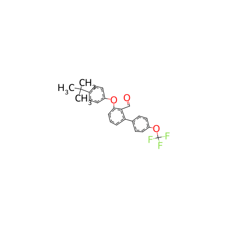 CC(C)(C)c1ccc(Oc2cccc(-c3ccc(OC(F)(F)F)cc3)c2C=O)cc1